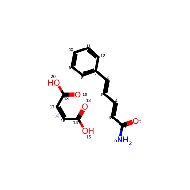 NC(=O)C=CC=Cc1ccccc1.O=C(O)/C=C\C(=O)O